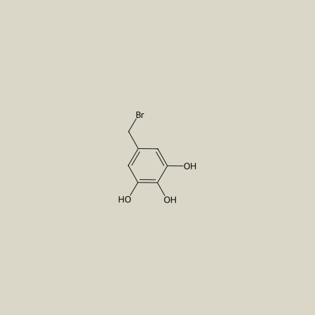 Oc1cc(CBr)cc(O)c1O